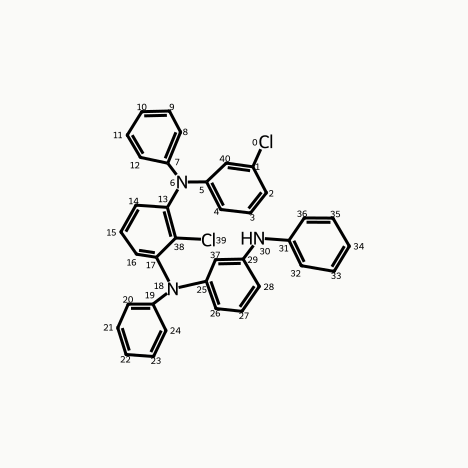 Clc1cccc(N(c2ccccc2)c2cccc(N(c3ccccc3)c3cccc(Nc4ccccc4)c3)c2Cl)c1